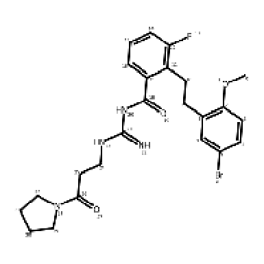 COc1ccc(Br)cc1CCc1c(F)cccc1C(=O)NC(=N)NCCC(=O)N1CCCC1